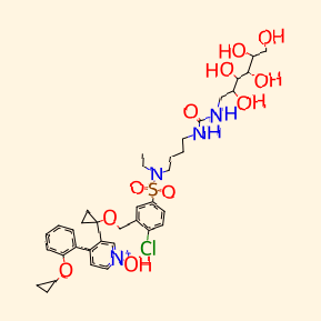 CCN(CCCCNC(=O)NCC(O)C(O)C(O)C(O)CO)S(=O)(=O)c1ccc(Cl)c(COC2(c3c[n+](O)ccc3-c3ccccc3OC3CC3)CC2)c1